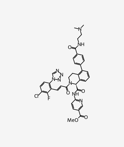 COC(=O)c1ccc(NC(=O)[C@@H]2c3cccc(-c4ccc(C(=O)NCCN(C)C)cc4)c3CCN2C(=O)/C=C/c2c(-n3cnnn3)ccc(Cl)c2F)nc1